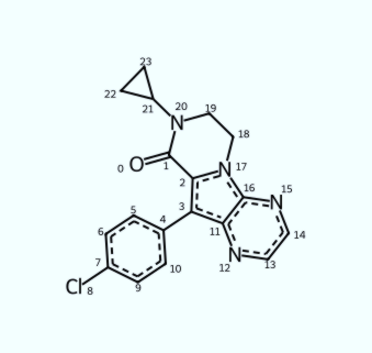 O=C1c2c(-c3ccc(Cl)cc3)c3nccnc3n2CCN1C1CC1